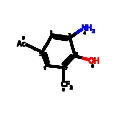 CC(=O)c1cc(N)c(O)c(C(F)(F)F)c1